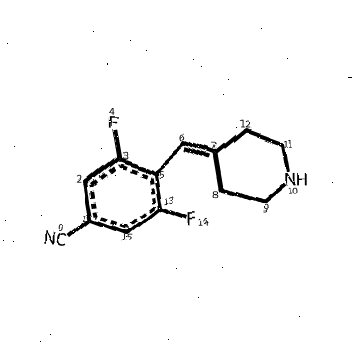 N#Cc1cc(F)c(C=C2CCNCC2)c(F)c1